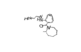 CC1CCCCCN1C(=O)c1ccccc1N/N=C\C=N